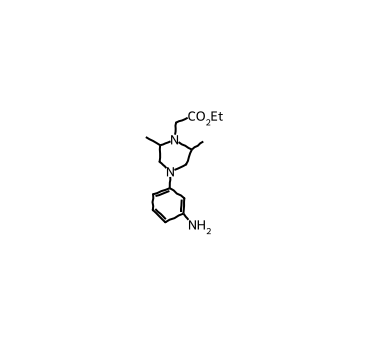 CCOC(=O)CN1C(C)CN(c2cccc(N)c2)CC1C